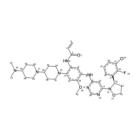 C=CC(=O)Nc1cc(Nc2cc(N3OCC[C@@H]3c3cccc(Cl)c3F)ncn2)c(OC)cc1N1CCC(N2CCC(N(C)C)CC2)CC1